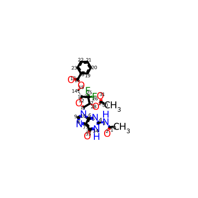 CC(=O)Nc1nc2c(ncn2[C@@H]2O[C@H](COC(=O)c3ccccc3)C(F)(F)[C@H]2OC(C)=O)c(=O)[nH]1